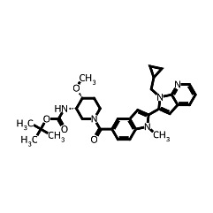 CO[C@@H]1CCN(C(=O)c2ccc3c(c2)cc(-c2cc4cccnc4n2CC2CC2)n3C)C[C@@H]1NC(=O)OC(C)(C)C